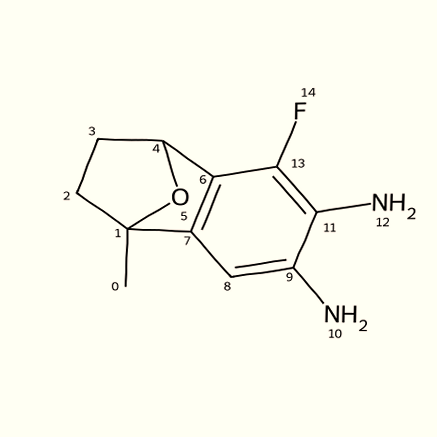 CC12CCC(O1)c1c2cc(N)c(N)c1F